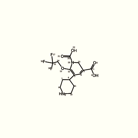 O=C(O)C1=CC(C2CCNCC2)=C(OCC(F)(F)F)N(C(=O)O)C1